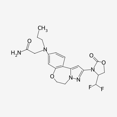 CCCN(CC(N)=O)c1ccc2c(c1)OCCn1nc(N3C(=O)OCC3C(F)F)cc1-2